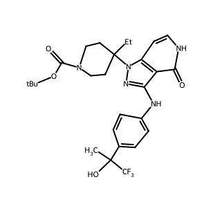 CCC1(n2nc(Nc3ccc(C(C)(O)C(F)(F)F)cc3)c3c(=O)[nH]ccc32)CCN(C(=O)OC(C)(C)C)CC1